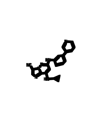 N#Cc1cnc2c(NC3CC3)cc(Nc3cccc(-c4cccnc4)c3)nn12